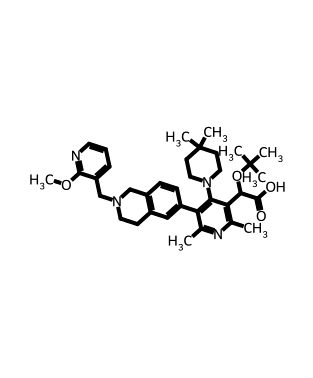 COc1ncccc1CN1CCc2cc(-c3c(C)nc(C)c(C(OC(C)(C)C)C(=O)O)c3N3CCC(C)(C)CC3)ccc2C1